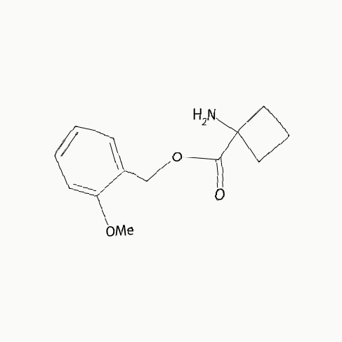 COc1ccccc1COC(=O)C1(N)CCC1